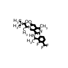 Cc1nnc(N[C@H](C)c2cccc(C(F)F)c2F)c2cn(C(C)C(=O)N(C)C)c(=O)cc12